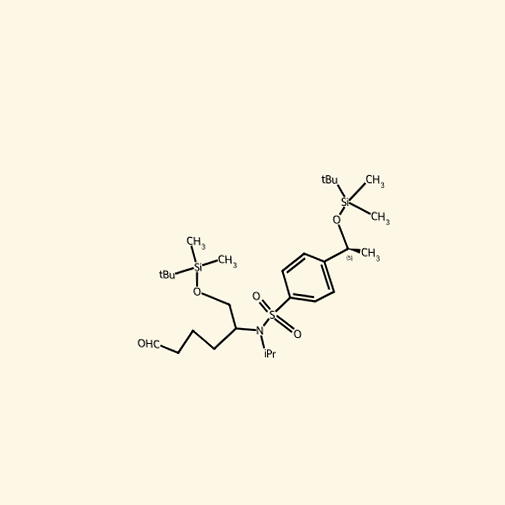 CC(C)N(C(CCCC=O)CO[Si](C)(C)C(C)(C)C)S(=O)(=O)c1ccc([C@H](C)O[Si](C)(C)C(C)(C)C)cc1